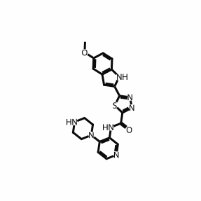 COc1ccc2[nH]c(-c3nnc(C(=O)Nc4cnccc4N4CCNCC4)s3)cc2c1